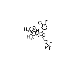 Cc1[nH]c(C(OCC2CC(C(F)(F)F)C2)c2ccc(F)c(Cl)c2)nc1S(C)(=O)=O